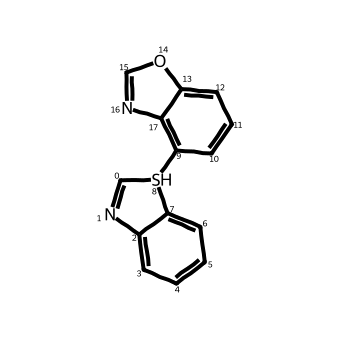 C1=Nc2ccccc2[SH]1c1cccc2ocnc12